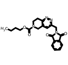 CCCCOC(=O)N1CCc2nnc(CN3C(=O)c4ccccc4C3=O)cc2C1